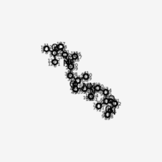 c1ccc(-c2cc(-c3ccccc3)c3oc4cccc(-c5ccc(-c6nc7cc(-c8cccc(-c9cc(-c%10ccccc%10)cc%10c9oc9cccc(-c%11ccc(-c%12nc%13ccc(-c%14cccc(-c%15cc(-c%16ccccc%16)cc%16c%15oc%15cccc(-c%17nc%18ccccc%18o%17)c%15%16)c%14)cc%13n%12-c%12ccccc%12)nc%11)c9%10)c8)ccc7n6-c6ccccc6)cc5)c4c3c2)cc1